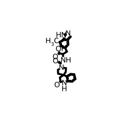 Cc1cc(CC(NC(=O)N2CCC3(CC2)CC(=O)Nc2ccccc23)C(=O)O)cc2cn[nH]c12